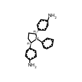 Nc1ccc([C@H]2CC[C@H](c3ccc(N)cc3)N2c2ccccc2)cc1